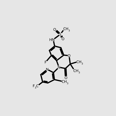 Cc1cc(C(F)(F)F)cnc1N1C(=O)C(C)(C)Oc2cc(NS(C)(=O)=O)cc(F)c21